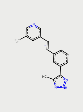 N#Cc1n[nH]nc1-c1cccc(/C=C/c2cncc(C(F)(F)F)c2)c1